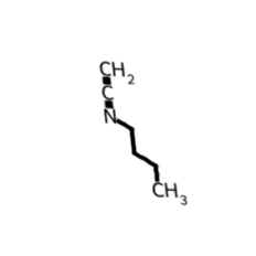 C=C=NCCCC